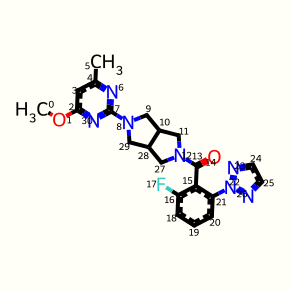 COc1cc(C)nc(N2CC3CN(C(=O)c4c(F)cccc4-n4nccn4)CC3C2)n1